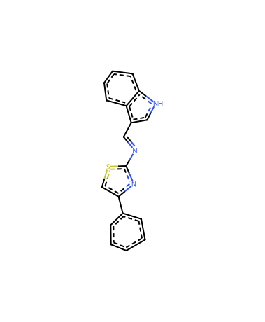 C(=N\c1nc(-c2ccccc2)cs1)/c1c[nH]c2ccccc12